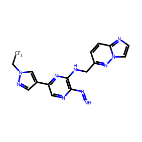 N=Nc1ncc(-c2cnn(CC(F)(F)F)c2)nc1NCc1ccc2nccn2n1